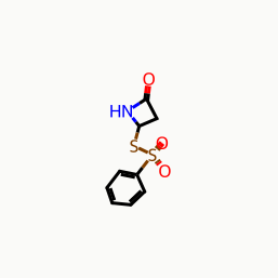 O=C1CC(SS(=O)(=O)c2ccccc2)N1